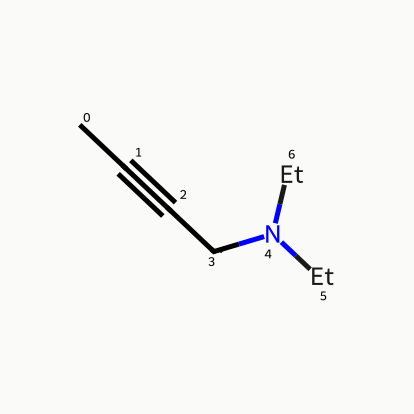 CC#C[CH]N(CC)CC